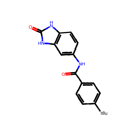 CC(C)(C)c1ccc(C(=O)Nc2ccc3[nH]c(=O)[nH]c3c2)cc1